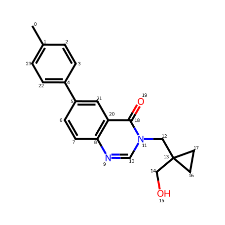 Cc1ccc(-c2ccc3ncn(CC4(CO)CC4)c(=O)c3c2)cc1